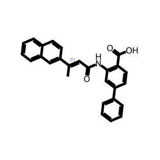 C/C(=C\C(=O)Nc1cc(-c2ccccc2)ccc1C(=O)O)c1ccc2ccccc2c1